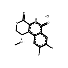 CN[C@@H]1COC(=O)c2[nH]c(=O)c3cc(F)c(F)cc3c21.Cl